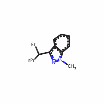 CCCC(CC)c1nn(C)c2ccccc12